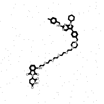 Cc1ccc(CNc2ncc3c(-c4ccc(CN5CCN(CCOCCOCCOCCOCCNc6cccc7c6C(=O)N(C6CCC(=O)NC6=O)C7=O)CC5)cc4)cn(C4CCCCC4)c3n2)cc1